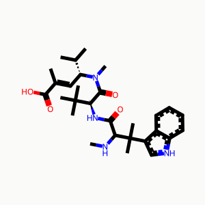 CNC(C(=O)N[C@H](C(=O)N(C)[C@H](/C=C(\C)C(=O)O)C(C)C)C(C)(C)C)C(C)(C)c1c[nH]c2ccccc12